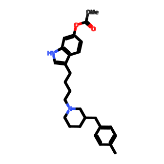 COC(=O)Oc1ccc2c(CCCCN3CCCC(Cc4ccc(C)cc4)C3)c[nH]c2c1